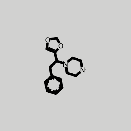 C1=C(C(Cc2ccccc2)N2CC[N]CC2)OCO1